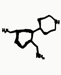 NCc1ccc(N)cc1[C]1CCNCC1